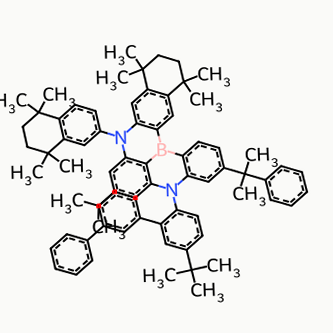 CC(C)c1cc2c3c(c1)N(c1ccc(C(C)(C)C)cc1-c1cccc(-c4ccccc4)c1)c1cc(C(C)(C)c4ccccc4)ccc1B3c1cc3c(cc1N2c1ccc2c(c1)C(C)(C)CCC2(C)C)C(C)(C)CCC3(C)C